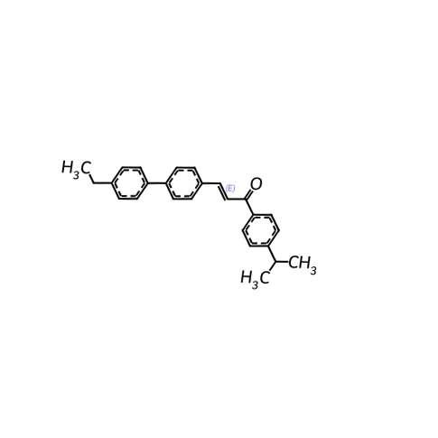 CCc1ccc(-c2ccc(/C=C/C(=O)c3ccc(C(C)C)cc3)cc2)cc1